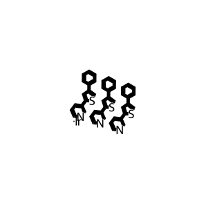 [Ir].c1ccc(-c2csc(-c3cccnc3)c2)cc1.c1ccc(-c2csc(-c3cccnc3)c2)cc1.c1ccc(-c2csc(-c3cccnc3)c2)cc1